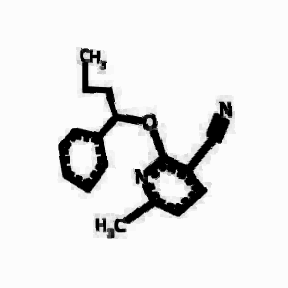 CCC[C@@H](Oc1nc(C)ccc1C#N)c1ccccc1